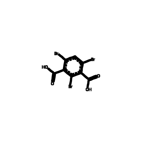 O=C(O)c1c(Br)cc(Br)c(C(=O)O)c1Br